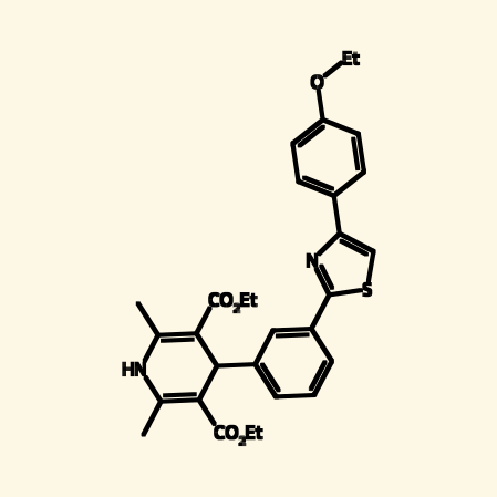 CCOC(=O)C1=C(C)NC(C)=C(C(=O)OCC)C1c1cccc(-c2nc(-c3ccc(OCC)cc3)cs2)c1